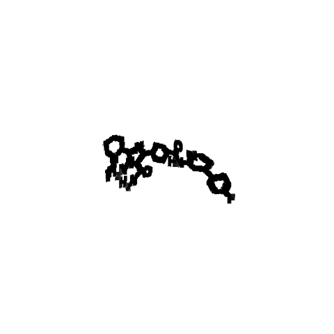 CC=CN1CCCC[C@H]1c1nc(-c2ccc(C(=O)Nc3cc(-c4ccc(F)cc4)ccn3)cc2)c(C(N)=O)n1N